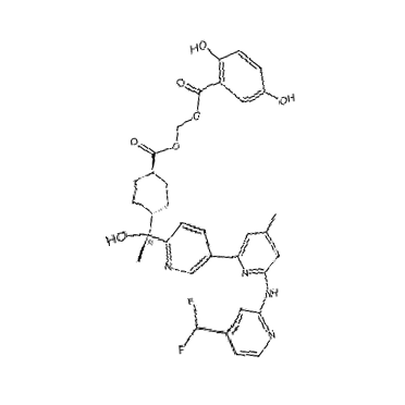 Cc1cc(Nc2cc(C(F)F)ccn2)nc(-c2ccc([C@](C)(O)[C@H]3CC[C@H](C(=O)OCOC(=O)c4cc(O)ccc4O)CC3)nc2)c1